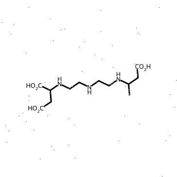 CC(CC(=O)O)NCCNCCNC(CC(=O)O)C(=O)O